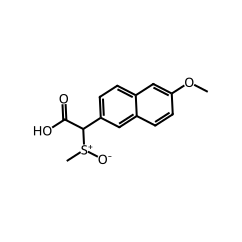 COc1ccc2cc(C(C(=O)O)[S+](C)[O-])ccc2c1